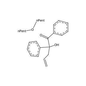 C=CCC(O)(C(=O)c1ccccc1)c1ccccc1.CCCCCOCCCCC